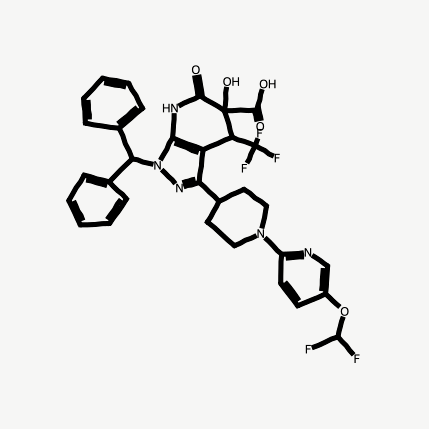 O=C(O)C1(O)C(=O)Nc2c(c(C3CCN(c4ccc(OC(F)F)cn4)CC3)nn2C(c2ccccc2)c2ccccc2)C1C(F)(F)F